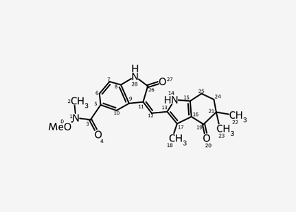 CON(C)C(=O)c1ccc2c(c1)/C(=C/c1[nH]c3c(c1C)C(=O)C(C)(C)CC3)C(=O)N2